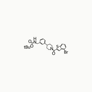 CC(C)(C)OC(=O)NCc1cccc(C2CCN(C(=O)c3cc4c(Br)cccc4s3)CC2)c1